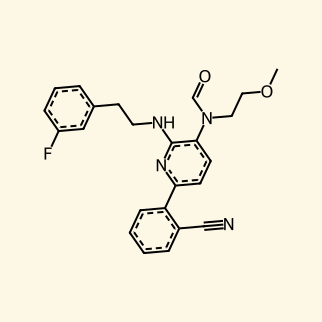 COCCN(C=O)c1ccc(-c2ccccc2C#N)nc1NCCc1cccc(F)c1